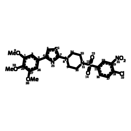 COc1cc(-c2csc(N3CCN(S(=O)(=O)c4ccc(Cl)c([N+](=O)[O-])c4)CC3)n2)cc(OC)c1OC